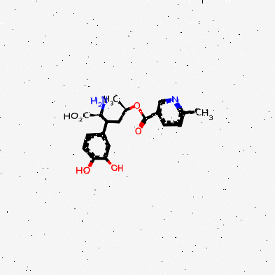 Cc1ccc(C(=O)O[C@H](C)CC(c2ccc(O)c(O)c2)[C@H](N)C(=O)O)cn1